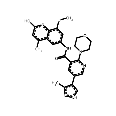 COc1cc(NC(=O)c2cc(-c3c[nH]nc3C)cnc2N2CCOCC2)cc2c(C)cc(O)nc12